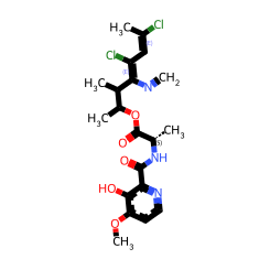 C=N/C(=C(Cl)\C=C(/C)Cl)C(C)C(C)OC(=O)[C@H](C)NC(=O)c1nccc(OC)c1O